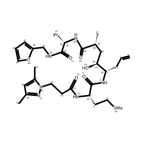 C=CC[C@H](NC(=O)[C@H](CCSC)NC(=O)CCn1nc(C)cc1C)[C@@H](O)C[C@@H](C)C(=O)N[C@H](C(=O)NCc1ccco1)C(C)C